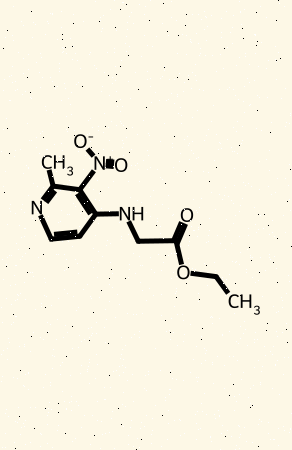 CCOC(=O)CNc1ccnc(C)c1[N+](=O)[O-]